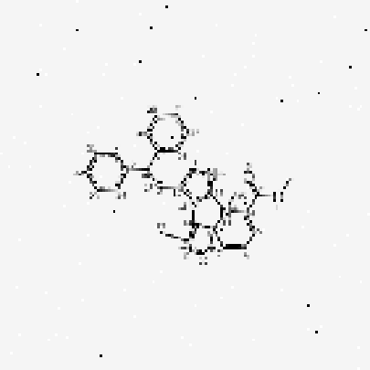 COC(=O)C1=CC=CC23CC=CC(C)=C2n2c(SC(c4ccccc4)c4ccccc4)cnc2[N+]13C